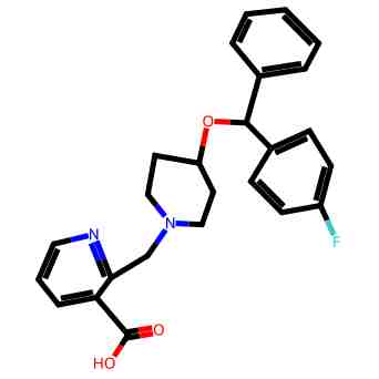 O=C(O)c1cccnc1CN1CCC(OC(c2ccccc2)c2ccc(F)cc2)CC1